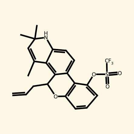 C=CCC1Oc2cccc(OS(=O)(=O)C(F)(F)F)c2-c2ccc3c(c21)C(C)=CC(C)(C)N3